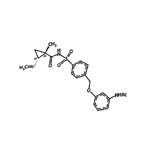 C=C[C@@H]1C[C@]1(C)C(=O)NS(=O)(=O)c1ccc(COc2cccc(NC(C)=O)c2)cc1